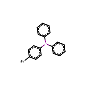 CC(C)c1ccc(P(c2ccccc2)c2ccccc2)cc1